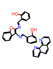 Oc1ccccc1C=Nc1oc2ccccc2c1N=Cc1ccccc1O.c1cnc2c(c1)ccc1cccnc12